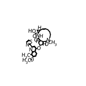 COc1ccc2c(O[C@@H]3C[C@H]4C(=O)N[C@]5(C(=O)O)C[C@H]5/C=C\CCCCN(C)C(=O)[C@@H]4C3)cc(-c3nccs3)nc2c1C